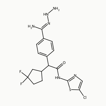 NN/N=C(\N)c1ccc(C(C(=O)Nc2ncc(Cl)s2)C2CCC(F)(F)C2)cc1